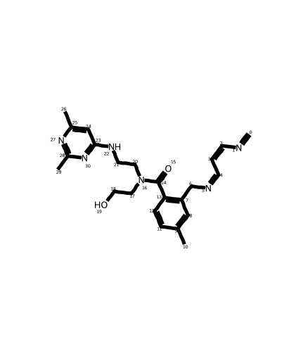 C=N/C=C\C=N/Cc1cc(C)ccc1C(=O)N(CCO)CCNc1cc(C)nc(C)n1